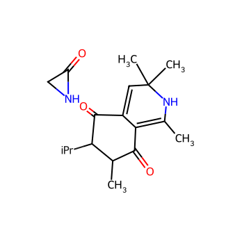 CC1=C2C(=O)C(C)C(C(C)C)C(=O)C2=CC(C)(C)N1.O=C1CN1